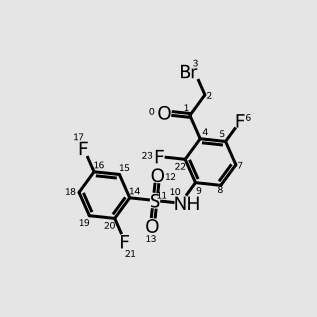 O=C(CBr)c1c(F)ccc(NS(=O)(=O)c2cc(F)ccc2F)c1F